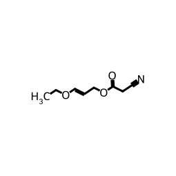 CCOC=CCOC(=O)CC#N